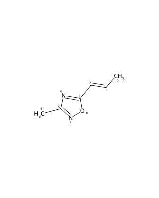 C/C=C/c1nc(C)no1